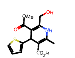 COC(=O)C1=C(CO)NC(C)=C(C(=O)O)C1c1cccs1